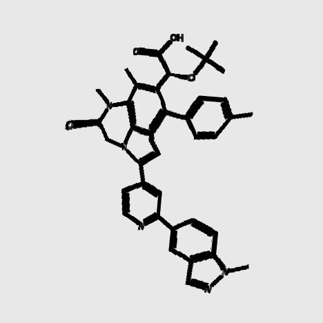 Cc1ccc(-c2c([C@H](OC(C)(C)C)C(=O)O)c(C)c3c4c2cc(-c2ccnc(-c5ccc6c(cnn6C)c5)c2)n4CC(=O)N3C)cc1